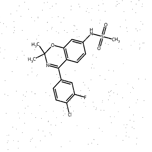 CC1(C)N=C(c2ccc(Cl)c(F)c2)c2ccc(NS(C)(=O)=O)cc2O1